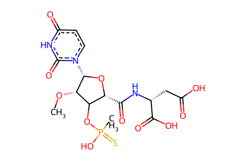 CO[C@H]1C(OP(C)(O)=S)[C@@H](C(=O)N[C@H](CC(=O)O)C(=O)O)O[C@H]1n1ccc(=O)[nH]c1=O